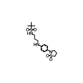 CC(C)(C)S(=O)(=O)NCCCNc1ccc(N2CCCS2(=O)=O)cc1